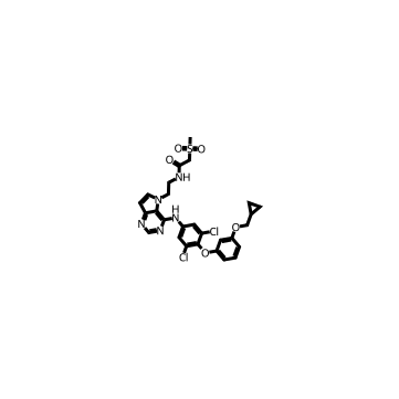 CS(=O)(=O)CC(=O)NCCn1ccc2ncnc(Nc3cc(Cl)c(Oc4cccc(OCC5CC5)c4)c(Cl)c3)c21